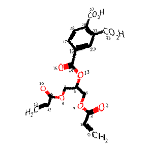 C=CC(=O)OCC(COC(=O)C=C)OC(=O)c1ccc(C(=O)O)c(C(=O)O)c1